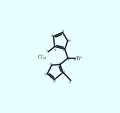 CC1=C([CH]([Ti+])C2=C(C)C=CC2)CC=C1.[Cl-]